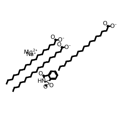 CCCCCCCCCCCCCCCCCC(=O)[O-].CCCCCCCCCCCCCCCCCC(=O)[O-].CCCCCCCCCCCCCCCCCC(=O)[O-].O=C1NS(=O)(=O)c2ccccc21.[Mg+2].[Na+]